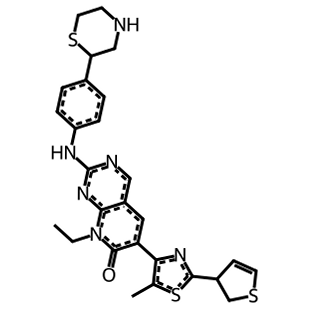 CCn1c(=O)c(-c2nc(C3C=CSC3)sc2C)cc2cnc(Nc3ccc(C4CNCCS4)cc3)nc21